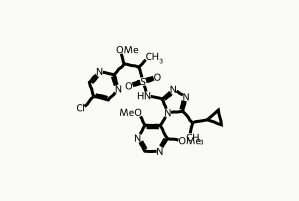 COc1ncnc(OC)c1-n1c(NS(=O)(=O)C(C)C(OC)c2ncc(Cl)cn2)nnc1C(C)C1CC1